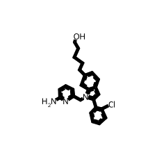 Nc1cccc(Cn2c(-c3ccccc3Cl)cc3ccc(CCCCCO)cc32)n1